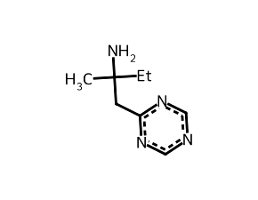 CCC(C)(N)Cc1ncncn1